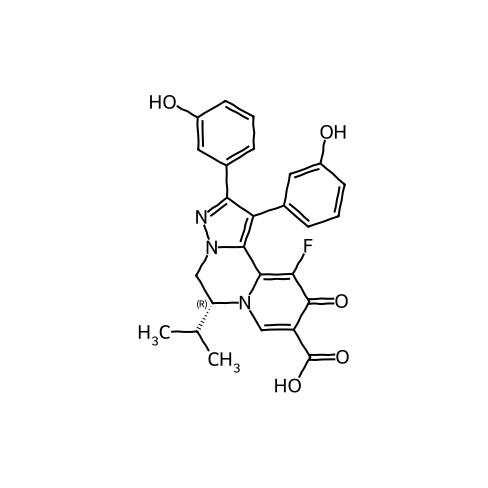 CC(C)[C@@H]1Cn2nc(-c3cccc(O)c3)c(-c3cccc(O)c3)c2-c2c(F)c(=O)c(C(=O)O)cn21